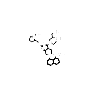 COc1cccc2cccc(N3CCc4c(nc(OCC5CCCN5C)nc4N4CCNC(CC#N)C4)C3)c12